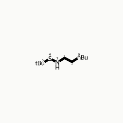 CCCCCCNSC(C)(C)C